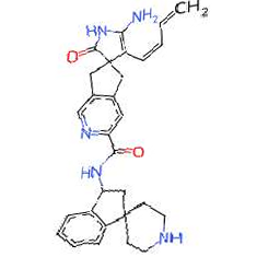 C=C/C=C\C1=C(N)NC(=O)C12Cc1cnc(C(=O)NC3CC4(CCNCC4)c4ccccc43)cc1C2